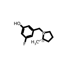 C[C@H]1CCCN1Cc1cc(O)cc(F)c1